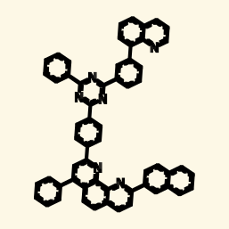 c1ccc(-c2nc(-c3ccc(-c4cc(-c5ccccc5)c5ccc6ccc(-c7ccc8ccccc8c7)nc6c5n4)cc3)nc(-c3cccc(-c4cccc5cccnc45)c3)n2)cc1